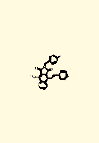 O=C1c2c(c(O)c3ncccc3c2/C=C/c2ccccc2)C(=O)N1Cc1ccc(F)cc1